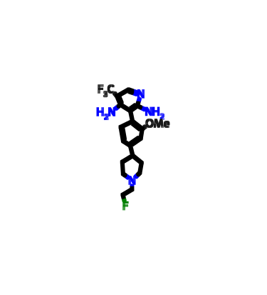 COc1cc(C2CCN(CCF)CC2)ccc1-c1c(N)ncc(C(F)(F)F)c1N